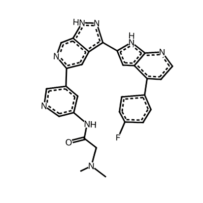 CN(C)CC(=O)Nc1cncc(-c2cc3c(-c4cc5c(-c6ccc(F)cc6)ccnc5[nH]4)n[nH]c3cn2)c1